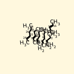 C=CCC.C=CCCC.C=CCCC.CC=CC.CC=CCC.CC=CCCC